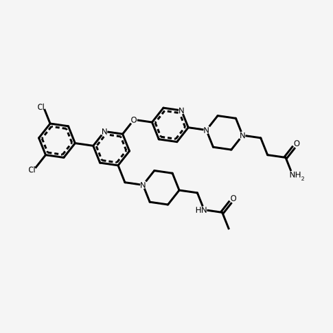 CC(=O)NCC1CCN(Cc2cc(Oc3ccc(N4CCN(CCC(N)=O)CC4)nc3)nc(-c3cc(Cl)cc(Cl)c3)c2)CC1